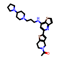 CC(=O)N1CCc2sc(-c3cc(NCCCN4CCC(N5CCCC5)CC4)c4sccc4n3)cc2C1